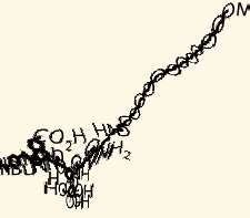 CCCCc1nc2c(NC(=O)OCc3ccc(O[C@H]4O[C@H](CO)[C@@H](O)[C@H](O)[C@@H]4O)c(NC(=O)CCNC(=O)[C@@H](N)CCCCNC(=O)CCOCCOCCOCCOCCOCCOCCOCCOCCOCCOCCOCCOC)c3)nc3cc(C(=O)O)ccc3c2n1Cc1ccc(CN(C)C)cc1